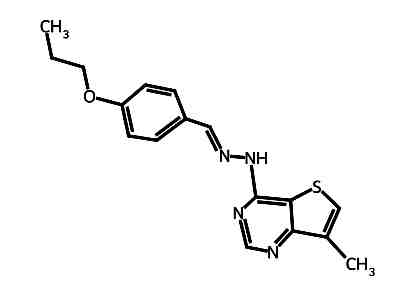 CCCOc1ccc(C=NNc2ncnc3c(C)csc23)cc1